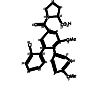 COc1ccc(-c2c(OC)cc(C(=O)N3CCCC3C(=O)O)cc2-c2ccccc2Cl)cn1